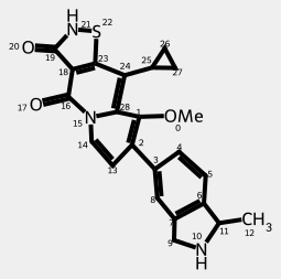 COc1c(-c2ccc3c(c2)CNC3C)ccn2c(=O)c3c(=O)[nH]sc3c(C3CC3)c12